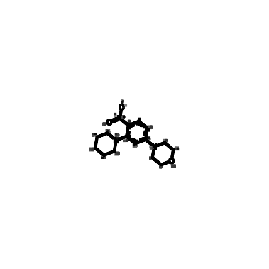 O=[N+]([O-])c1cnc(N2CCOCC2)cc1N1CCCCC1